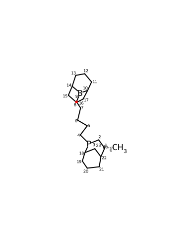 C[C@H]1CP(CCCCCB2C3CCCC2CCC3)C2CCCC1C2